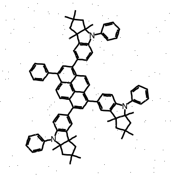 CC1(C)CC2(C)c3cc(-c4cc(-c5ccccc5)c5ccc6c(-c7ccc8c(c7)C7(C)CC(C)(C)CC7(C)N8c7ccccc7)cc(-c7ccc8c(c7)C7(C)CC(C)(C)CC7(C)N8c7ccccc7)c7ccc4c5c67)ccc3N(c3ccccc3)C2(C)C1